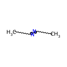 CCCCCCCCCCCCCc1ccc(-c2ccc(CCCCCCCCCCCCC)cn2)nc1